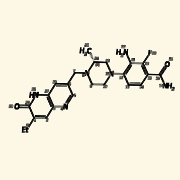 CCc1cc2ncc(CN3CCN(c4ccc(C(N)=O)c(F)c4N)C[C@H]3C)cc2[nH]c1=O